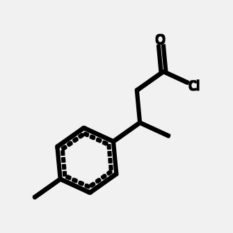 Cc1ccc(C(C)CC(=O)Cl)cc1